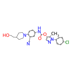 Cc1c(OC(=O)Nc2ccc(N3CCC(CCO)CC3)c(C#N)c2)cnn1-c1ccc(Cl)cc1